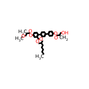 C=C(CO)C(=O)Oc1ccc(-c2ccc(-c3ccc(OC(=O)C(=C)COC)cc3C3OCC(CCCCCC)CO3)cc2)cc1